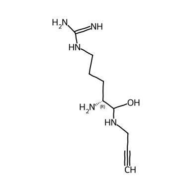 C#CCNC(O)[C@H](N)CCCNC(=N)N